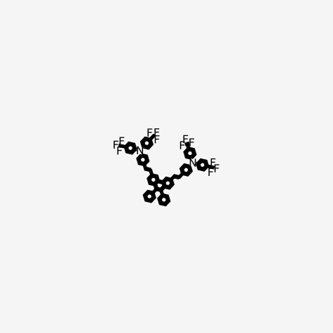 FC(F)(F)c1ccc(N(c2ccc(/C=C/c3ccc4c(-c5ccccc5)c(-c5ccccc5)c5ccc(/C=C/c6ccc(N(c7ccc(C(F)(F)F)cc7)c7ccc(C(F)(F)F)cc7)cc6)cc5c4c3)cc2)c2ccc(C(F)(F)F)cc2)cc1